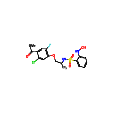 COC(=O)c1cc(F)c(OCC(NS(=O)(=O)c2ccccc2NO)C(F)(F)F)cc1Cl